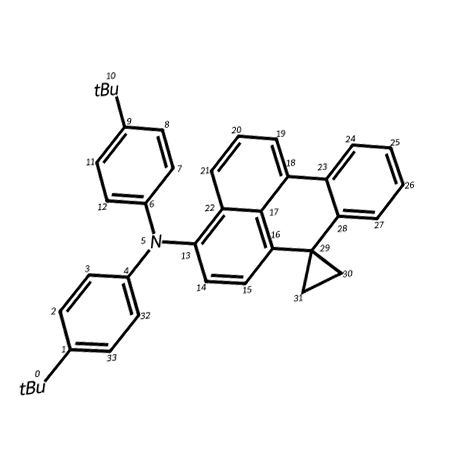 CC(C)(C)c1ccc(N(c2ccc(C(C)(C)C)cc2)c2ccc3c4c(cccc24)-c2ccccc2C32CC2)cc1